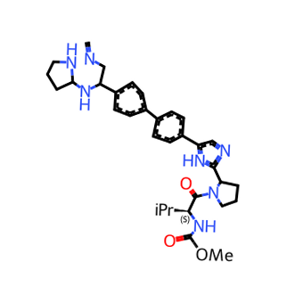 C=NCC(NC1CCCN1)c1ccc(-c2ccc(-c3cnc(C4CCCN4C(=O)[C@@H](NC(=O)OC)C(C)C)[nH]3)cc2)cc1